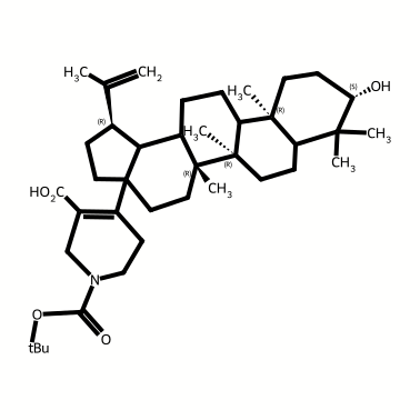 C=C(C)[C@@H]1CCC2(C3=C(C(=O)O)CN(C(=O)OC(C)(C)C)CC3)CC[C@]3(C)C(CCC4[C@@]5(C)CC[C@H](O)C(C)(C)C5CC[C@]43C)C12